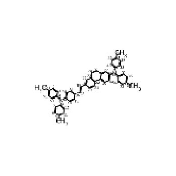 Cc1ccc(N(c2ccc(C)cc2)c2ccc(/C=C/c3ccc4c(ccc5cc(N(c6ccc(C)cc6)c6ccc(C)cc6)ccc54)c3)cc2)cc1